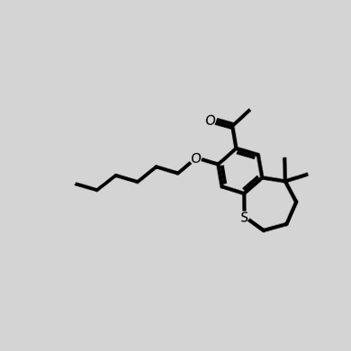 CCCCCCOc1cc2c(cc1C(C)=O)C(C)(C)CCCS2